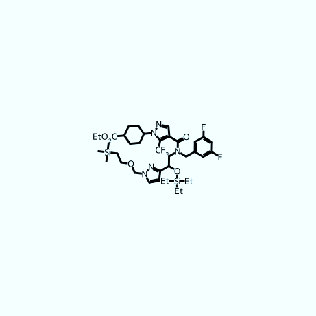 CCOC(=O)C1CCC(n2ncc(C(=O)N(Cc3cc(F)cc(F)c3)CC(O[Si](CC)(CC)CC)c3ccn(COCC[Si](C)(C)C)n3)c2C(F)(F)F)CC1